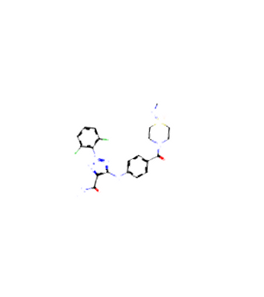 CN=S1(=O)CCN(C(=O)c2ccc(Nc3nn(-c4c(Cl)cccc4Cl)nc3C(N)=O)cc2)CC1